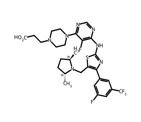 C[C@@H]1CC[C@@H](C)N1Cc1sc(Nc2ncnc(N3CCN(CCC(=O)O)CC3)c2F)nc1-c1cc(F)cc(C(F)(F)F)c1